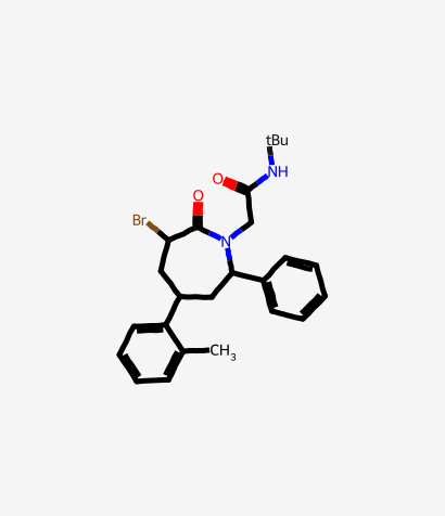 Cc1ccccc1C1CC(Br)C(=O)N(CC(=O)NC(C)(C)C)C(c2ccccc2)C1